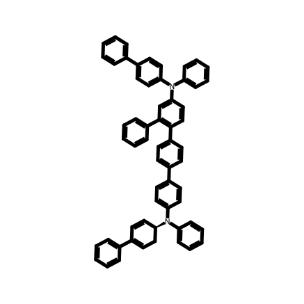 C1=C[C@@H](N(c2ccccc2)c2ccc(-c3ccc(-c4ccc(N(c5ccccc5)c5ccc(-c6ccccc6)cc5)cc4-c4ccccc4)cc3)cc2)CC=C1c1ccccc1